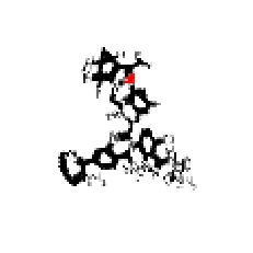 Cc1cccnc1-c1ccc2c(=O)n(-c3ccc(Cl)c4c(NS(C)(=O)=O)nn(C)c34)c([C@H](Cc3cc(F)cc(F)c3)NC(=O)Cn3nc(C(F)F)c4c3C(F)(F)[C@@H]3C[C@H]43)nc2c1